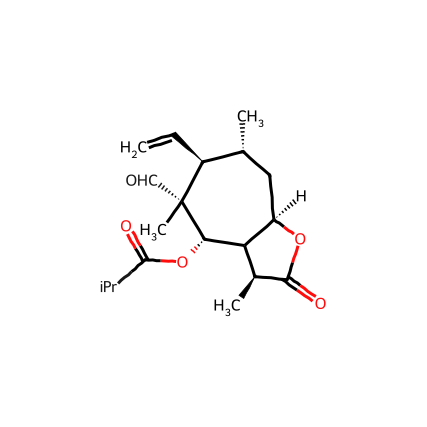 C=C[C@H]1[C@H](C)C[C@H]2OC(=O)[C@@H](C)C2[C@H](OC(=O)C(C)C)[C@]1(C)C=O